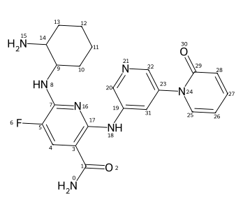 NC(=O)c1cc(F)c(NC2CCCCC2N)nc1Nc1cncc(-n2ccccc2=O)c1